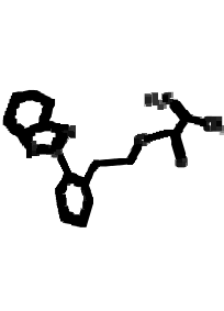 C=C(C)C(=O)OCCc1ccccc1-n1nc2ccccc2n1